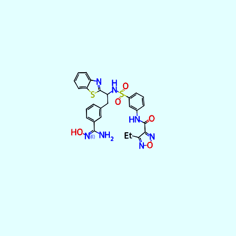 CCc1nonc1C(=O)Nc1cccc(S(=O)(=O)NC(Cc2cccc(/C(N)=N\O)c2)c2nc3ccccc3s2)c1